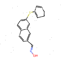 ON=Cc1ccc2ccc(SC3=CCCC=C3)cc2c1